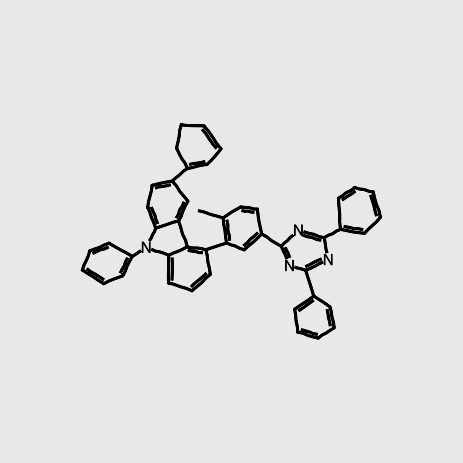 Cc1ccc(-c2nc(-c3ccccc3)nc(-c3ccccc3)n2)cc1-c1cccc2c1c1cc(C3=CC=CCC3)ccc1n2-c1ccccc1